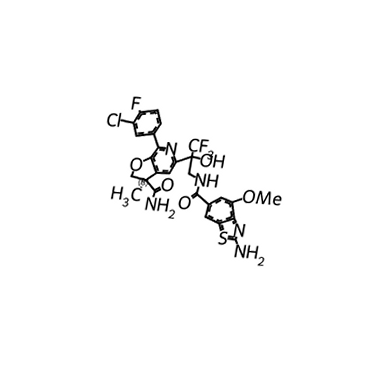 COc1cc(C(=O)NCC(O)(c2cc3c(c(-c4ccc(F)c(Cl)c4)n2)OC[C@]3(C)C(N)=O)C(F)(F)F)cc2sc(N)nc12